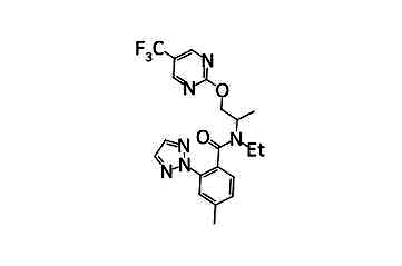 CCN(C(=O)c1ccc(C)cc1-n1nccn1)C(C)COc1ncc(C(F)(F)F)cn1